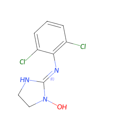 ON1CCN/C1=N\c1c(Cl)cccc1Cl